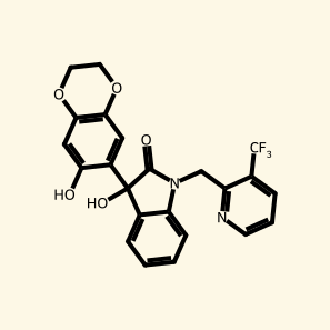 O=C1N(Cc2ncccc2C(F)(F)F)c2ccccc2C1(O)c1cc2c(cc1O)OCCO2